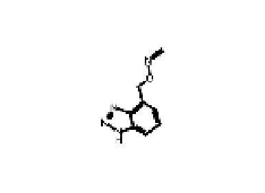 C=NOCc1cccc2[nH]nnc12